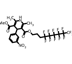 COC(=O)C1=C(C)NC(C)=C(C(=O)OCCCC(F)(F)C(F)(F)C(F)(F)C(F)(F)C(F)(F)C(F)(F)F)C1c1cccc([N+](=O)[O-])c1